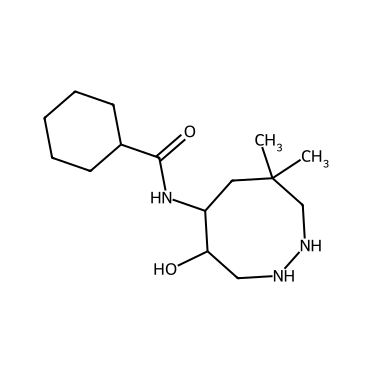 CC1(C)CNNCC(O)C(NC(=O)C2CCCCC2)C1